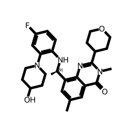 Cc1cc([C@@H](C)Nc2ccc(F)cc2N2CCC(O)CC2)c2nc(C3CCOCC3)n(C)c(=O)c2c1